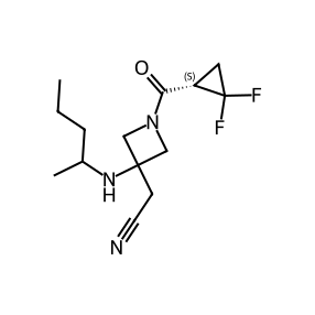 CCCC(C)NC1(CC#N)CN(C(=O)[C@@H]2CC2(F)F)C1